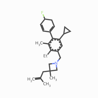 C=C(C)CC1(C)CN(Cc2cc(C3CC3)c(C3=CCC(F)C=C3)c(C)c2CC)C1